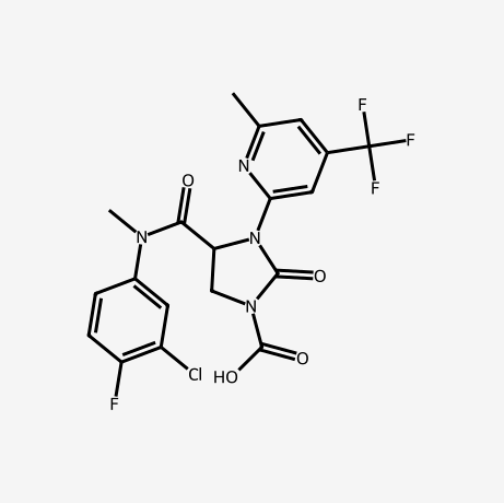 Cc1cc(C(F)(F)F)cc(N2C(=O)N(C(=O)O)CC2C(=O)N(C)c2ccc(F)c(Cl)c2)n1